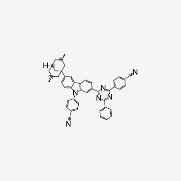 C[C@@H]1C[C@@H]2C[C@H](C)CC(c3ccc4c(c3)c3ccc(-c5nc(-c6ccccc6)nc(-c6ccc(C#N)cc6)n5)cc3n4-c3ccc(C#N)cc3)(C1)C2